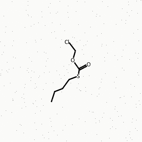 CCCCSC(=O)OCCl